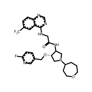 O=C(CNc1ncnc2ccc(C(F)(F)F)cc12)NC1CN(C2CCCOCC2)C[C@@H]1OCc1ccc(F)nc1